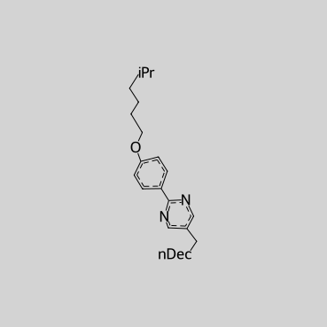 CCCCCCCCCCCc1cnc(-c2ccc(OCCCCC(C)C)cc2)nc1